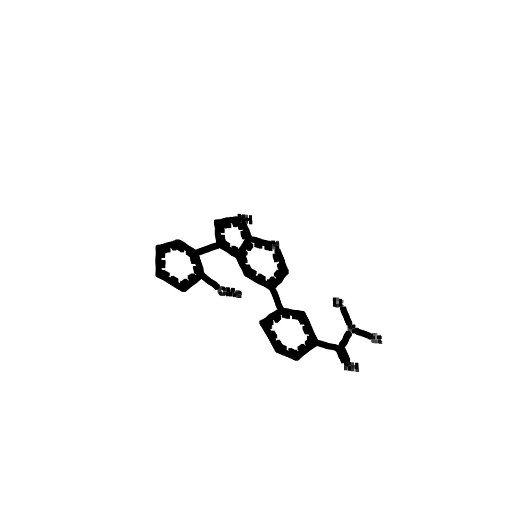 CCN(CC)C(=N)c1cccc(-c2cnc3[nH]cc(-c4ccccc4OC)c3c2)c1